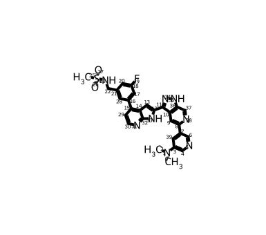 CN(C)c1cncc(-c2cc3c(-c4cc5c(-c6cc(F)cc(CNS(C)(=O)=O)c6)ccnc5[nH]4)n[nH]c3cn2)c1